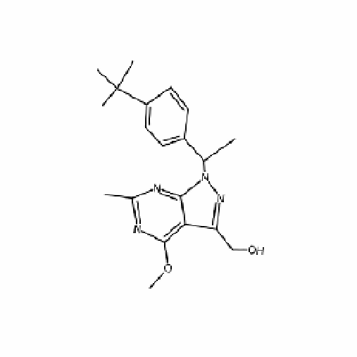 COc1nc(C)nc2c1c(CO)nn2C(C)c1ccc(C(C)(C)C)cc1